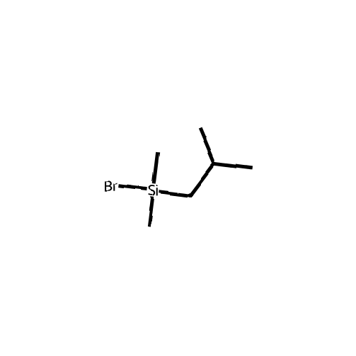 CC(C)C[Si](C)(C)Br